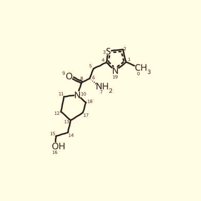 Cc1csc(C[C@H](N)C(=O)N2CCC(CCO)CC2)n1